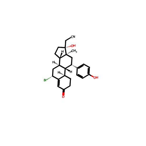 C[C@]12C[C@H](c3ccc(O)cc3)[C@H]3[C@@H](C[C@@H](Br)C4=CC(=O)CC[C@@H]43)[C@@H]1CC[C@@]2(O)CC#N